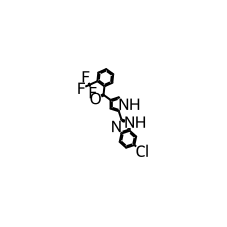 O=C(c1c[nH]c(-c2nc3ccc(Cl)cc3[nH]2)c1)c1ccccc1C(F)(F)F